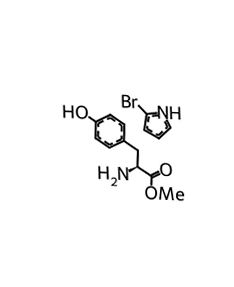 Brc1ccc[nH]1.COC(=O)[C@@H](N)Cc1ccc(O)cc1